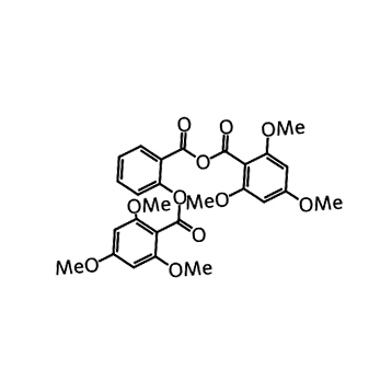 COc1cc(OC)c(C(=O)OC(=O)c2ccccc2OC(=O)c2c(OC)cc(OC)cc2OC)c(OC)c1